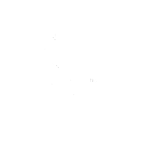 O=C(OCc1ccccc1[N+](=O)[O-])N1CCNCC1